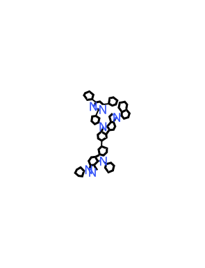 c1ccc(-c2cc(-c3ccccc3)nc(-c3cccc(-n4c5ccc(-c6ccc7c(c6)c6ccc8c(cnn8-c8ccccc8)c6n7-c6ccccc6)cc5c5ccc6c(ccn6-c6cccc7ccccc67)c54)c3)n2)cc1